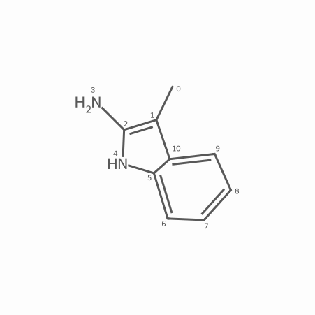 Cc1c(N)[nH]c2ccccc12